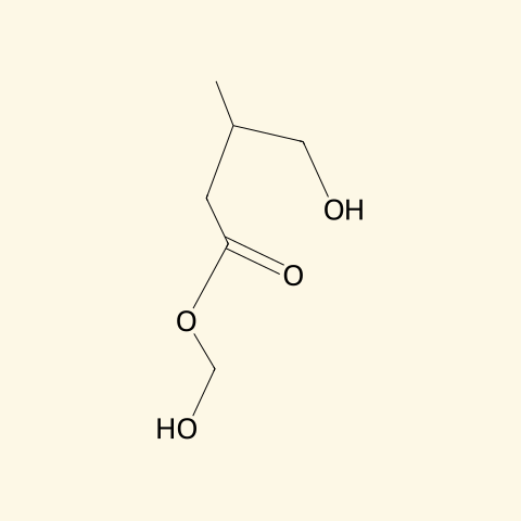 CC(CO)CC(=O)OCO